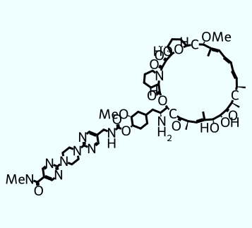 CNC(=O)c1cnc(N2CCN(c3ncc(CNC(=O)O[C@@H]4CCC(C[C@@H](N)[C@@H]5CC(=O)[C@H](C)/C=C(\C)[C@@H](O)[C@@H](O)C(=O)[C@H](C)C[C@H](C)/C=C/C=C/C=C(\C)[C@@H](OC)C[C@@H]6CC[C@@H](C)[C@@](O)(O6)C(=O)C(=O)N6CCCC[C@H]6C(=O)O5)C[C@H]4OC)cn3)CC2)nc1